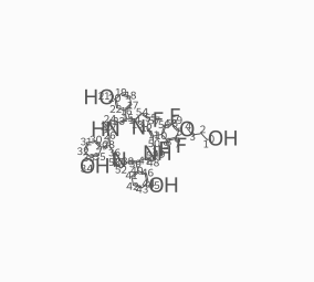 OCCCOc1c(F)c(F)c(-c2c3nc(c(-c4cccc(O)c4)c4ccc([nH]4)c(-c4cccc(O)c4)c4nc(c(-c5cccc(O)c5)c5ccc2[nH]5)C=C4)C=C3)c(F)c1F